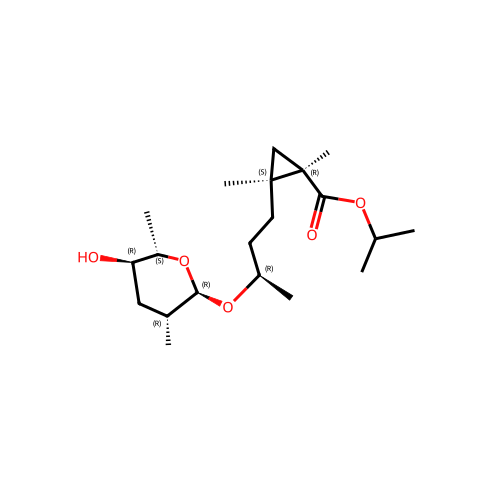 CC(C)OC(=O)[C@]1(C)C[C@]1(C)CC[C@@H](C)O[C@@H]1O[C@@H](C)[C@H](O)C[C@H]1C